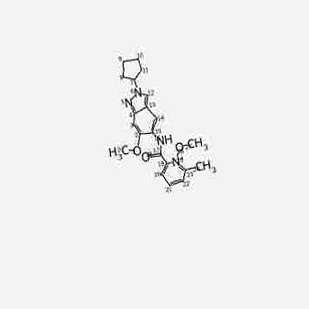 COc1cc2nn(C3CCCC3)cc2cc1NC(=O)c1cccc(C)[n+]1OC